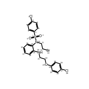 O=S(=O)(c1ccc(Cl)cc1)N(CCBr)c1ccccc1NCCOc1ccc(Cl)cc1